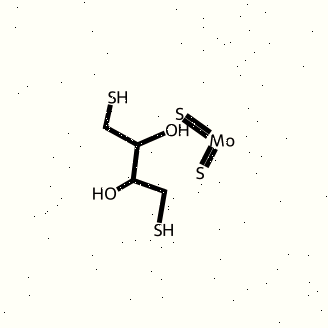 OC(CS)C(O)CS.[S]=[Mo]=[S]